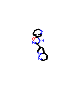 c1cnn2cc(C3=NOC4(CN5CCC4CC5)N3)cc2c1